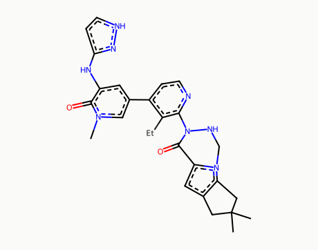 CCc1c(-c2cc(Nc3cc[nH]n3)c(=O)n(C)c2)ccnc1N1NCn2c(cc3c2CC(C)(C)C3)C1=O